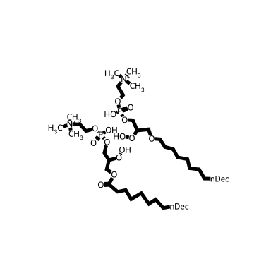 CCCCCCCCCCCCCCCCCC(=O)OCC(COP(=O)(O)OCC[N+](C)(C)C)OO.CCCCCCCCCCCCCCCCCCOCC(COP(=O)(O)OCC[N+](C)(C)C)OO